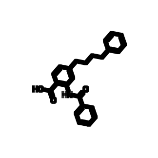 O=C(Nc1cc(CCCCc2ccccc2)ccc1C(=O)O)c1ccccc1